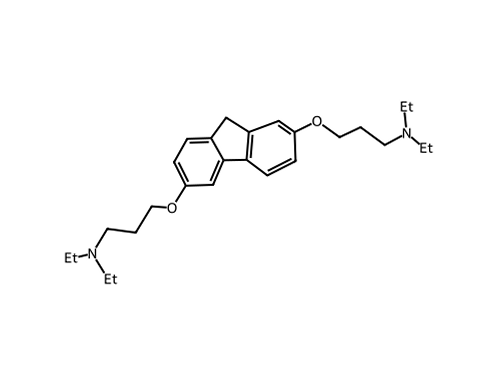 CCN(CC)CCCOc1ccc2c(c1)Cc1ccc(OCCCN(CC)CC)cc1-2